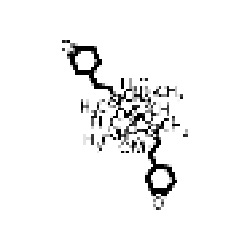 CO[Si](C)(C)O[Si](O[Si](C)(C)C)(O[Si](C)(C)CCC1CCC2OC2C1)O[Si](C)(C)CCC1CCC2OC2C1